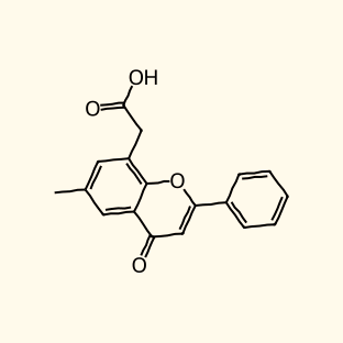 Cc1cc(CC(=O)O)c2oc(-c3ccccc3)cc(=O)c2c1